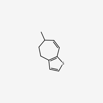 CC1C=Cc2sccc2CC1